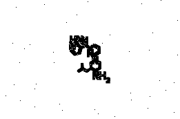 CC(C)C[C@H]1CN(c2cccc(-c3n[nH]c4ncccc34)n2)CC[C@@H]1N